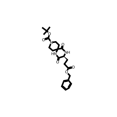 CC(C)(C)OC(=O)N1CCC2(CC1)NC(=O)[C@H](CCC(=O)OCc1ccccc1)NC2=O